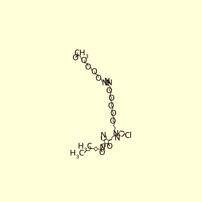 CCCCC(C)C1CC(C(=O)N2CC3(C2)C(=O)/C(=C/Cc2nc4cc(Cl)ccc4n2CCCCOCCOCCOCCOCCOCc2cn(CCOCCOCCOCCOCCC(C)=O)nn2)c2cnccc23)C1